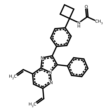 C=Cc1cc(C=C)c2nc(-c3ccc(C4(NC(C)=O)CCC4)cc3)c(-c3ccccc3)n2n1